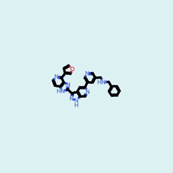 c1ccc(CNCc2cncc(-c3cc4c(-c5nc6c(-c7ccoc7)nccc6[nH]5)n[nH]c4cn3)c2)cc1